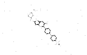 CP(C)(=O)c1ccc(-c2ccc(-c3nc4cc(O[C@@H]5CO[C@H](CO)C5)[nH]c4cc3F)cc2)cc1